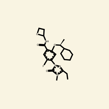 CCc1nn(-c2cc(O[C@@H](C)C3CCCCC3)c(C(=O)NC3CCO3)cc2F)c(=O)n1C